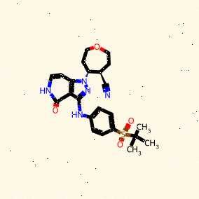 CC(C)(C)S(=O)(=O)c1ccc(Nc2nn([C@@H]3CCOCC[C@H]3C#N)c3cc[nH]c(=O)c23)cc1